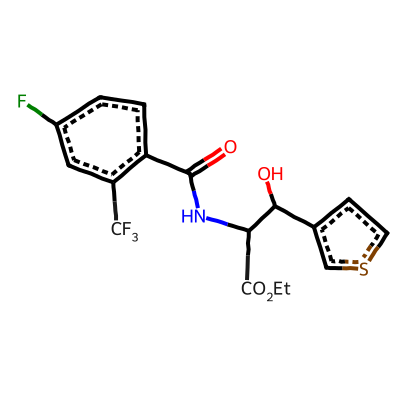 CCOC(=O)C(NC(=O)c1ccc(F)cc1C(F)(F)F)C(O)c1ccsc1